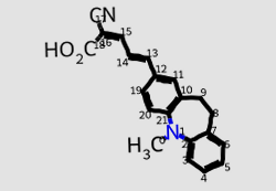 CN1c2ccccc2CCc2cc(/C=C/C=C(/C#N)C(=O)O)ccc21